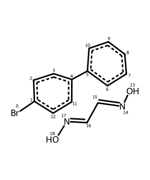 Brc1ccc(-c2ccccc2)cc1.ON=CC=NO